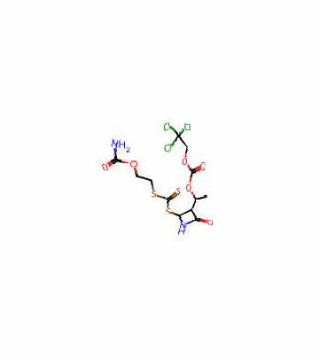 CC(OC(=O)OCC(Cl)(Cl)Cl)C1C(=O)NC1SC(=S)SCCOC(N)=O